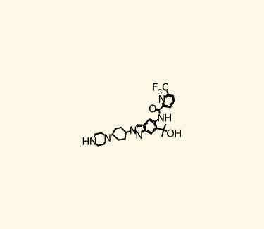 CC(C)(O)c1cc2nn(C3CCC(N4CCNCC4)CC3)cc2cc1NC(=O)c1cccc(C(F)(F)F)n1